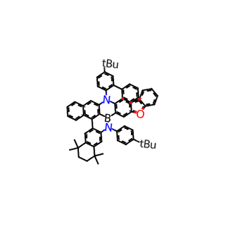 CC(C)(C)c1ccc(N2B3c4cc5oc6ccccc6c5cc4N(c4ccc(C(C)(C)C)cc4-c4ccccc4)c4cc5ccccc5c(c43)-c3cc4c(cc32)C(C)(C)CCC4(C)C)cc1